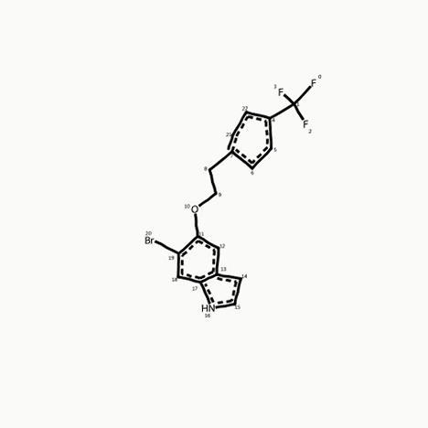 FC(F)(F)c1ccc(CCOc2cc3cc[nH]c3cc2Br)cc1